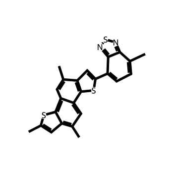 Cc1cc2c(C)cc3c(cc(C)c4cc(-c5ccc(C)c6nsnc56)sc43)c2s1